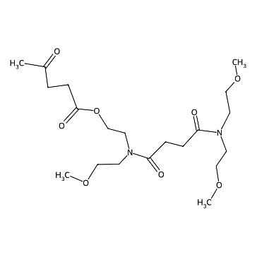 COCCN(CCOC)C(=O)CCC(=O)N(CCOC)CCOC(=O)CCC(C)=O